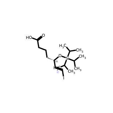 CC(C)[Si](O[C@H](/C=C/I)CCCC(=O)O)(C(C)C)C(C)C